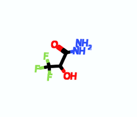 NNC(=O)C(O)C(F)(F)F